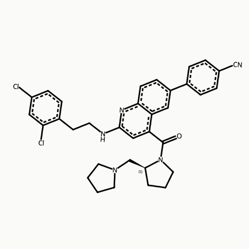 N#Cc1ccc(-c2ccc3nc(NCCc4ccc(Cl)cc4Cl)cc(C(=O)N4CCC[C@H]4CN4CCCC4)c3c2)cc1